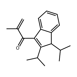 C=C(C)C(=O)C1=C(C(C)C)C(C(C)C)c2ccccc21